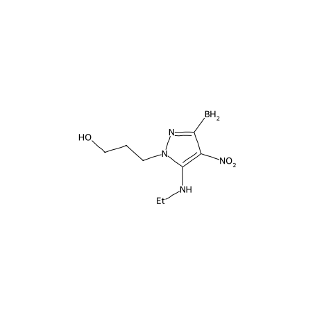 Bc1nn(CCCO)c(NCC)c1[N+](=O)[O-]